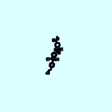 COCCc1ccc(-c2[nH]c3cc(S(=O)(=O)NC4CCC(C(=O)OC)CC4)ccc3c2Cl)cc1